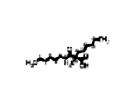 CCCCCCCC(=O)C(C)(CCCCCC)C(=O)O